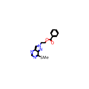 CSc1ncnc2cn(CCOC(=O)c3ccccc3)nc12